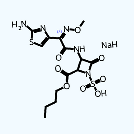 CCCCOC(=O)C1C(NC(=O)/C(=N\OC)c2csc(N)n2)C(=O)N1S(=O)(=O)O.[NaH]